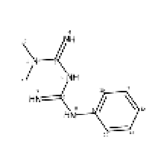 CN(C)C(=N)NC(=N)Nc1ccccc1